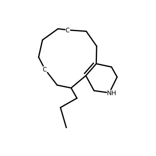 CCCC1CCCCCCCCC2=C1CNCC2